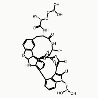 CC(C)C1NC(=O)[C@@H](NC(=O)[C@@H](OOP(O)O)C(C)C)Cc2ccc3c(c2)C24c5cccc(c5NC2O3)-c2cccc3c2c(c(Cl)n3OP(O)O)-c2oc(nc2Cl)-c2nc1oc24